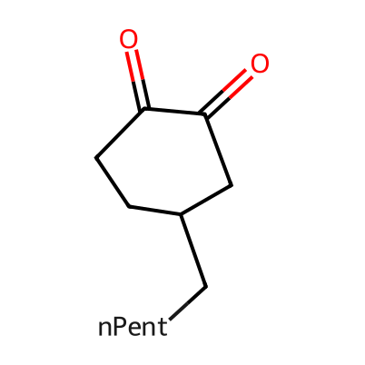 CCCCCCC1CCC(=O)C(=O)C1